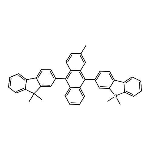 Cc1ccc2c(-c3ccc4c(c3)C(C)(C)c3ccccc3-4)c3ccccc3c(-c3ccc4c(c3)[Si](C)(C)c3ccccc3-4)c2c1